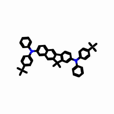 CC1(C)c2cc(N(c3ccccc3)c3ccc([Si](C)(C)C)cc3)ccc2-c2cc3ccc(N(c4ccccc4)c4ccc([Si](C)(C)C)cc4)cc3cc21